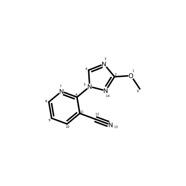 COc1ncn(-c2ncccc2C#N)n1